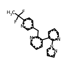 CC(F)(F)c1ccc(Cc2ncccc2-c2cccnc2-n2cccn2)cn1